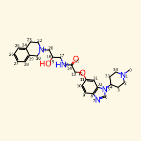 CN1CCC(n2cnc3ccc(OCC(=O)NCC(O)CN4CCc5ccccc5C4)cc32)CC1